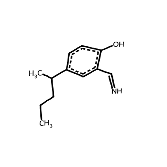 CCCC(C)c1ccc(O)c(C=N)c1